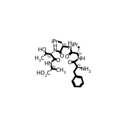 CC(C)C[C@H](NC(=O)[C@H](CC(C)C)NC(=O)[C@@H](N)Cc1ccccc1)C(=O)N[C@H](C(=O)N[C@@H](C)C(=O)O)[C@@H](C)O